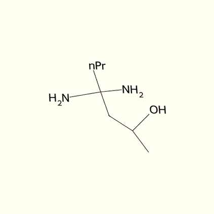 CCCC(N)(N)CC(C)O